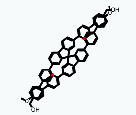 COc1ccc(-c2ccc(-c3ccc4c(c3)C3(c5cc(-c6ccc(-c7ccc(CO)cc7)cc6)ccc5-4)c4cc(-c5ccc(-c6ccc(CO)cc6)cc5)ccc4-c4ccc(-c5ccc(-c6ccc(OC)cc6)cc5)cc43)cc2)cc1